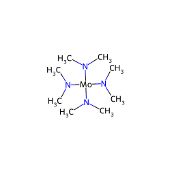 C[N](C)[Mo]([N](C)C)([N](C)C)[N](C)C